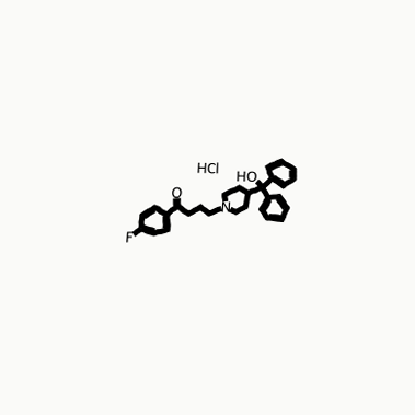 Cl.O=C(CCCN1CCC(C(O)(c2ccccc2)c2ccccc2)CC1)c1ccc(F)cc1